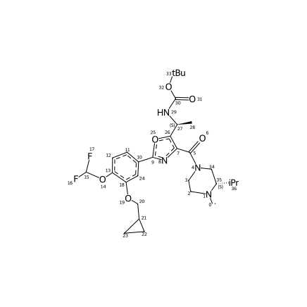 [CH2]N1CCN(C(=O)c2nc(-c3ccc(OC(F)F)c(OCC4CC4)c3)oc2[C@H](C)NC(=O)OC(C)(C)C)C[C@@H]1C(C)C